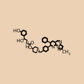 Cc1cc2ncc3cc(-c4ccccc4)c(-c4ccc(CN5CCC(OC(=O)NCC(O)c6cccc(O)c6)CC5)cc4)nc3n2n1